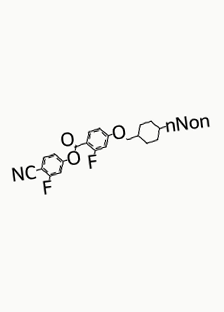 CCCCCCCCCC1CCC(COc2ccc(C(=O)Oc3ccc(C#N)c(F)c3)c(F)c2)CC1